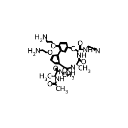 CC(=O)N[C@@H](C)C(=O)N(C)[C@@H]1C(=O)N[C@@H](C)C(=O)N[C@H](C(=O)NCC#N)Cc2ccc(OCCN)c(c2)-c2cc1ccc2OCCN